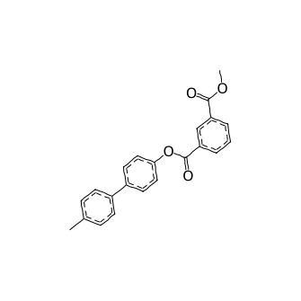 COC(=O)c1cccc(C(=O)Oc2ccc(-c3ccc(C)cc3)cc2)c1